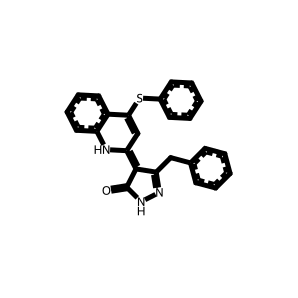 O=C1NN=C(Cc2ccccc2)/C1=C1\C=C(Sc2ccccc2)c2ccccc2N1